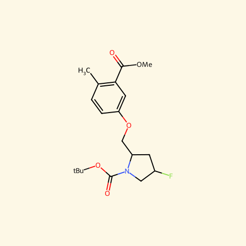 COC(=O)c1cc(OCC2CC(F)CN2C(=O)OC(C)(C)C)ccc1C